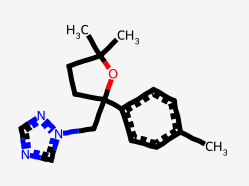 Cc1ccc(C2(Cn3cncn3)CCC(C)(C)O2)cc1